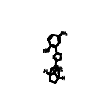 CCOC(=O)[C@H]1[C@@H]2CC[C@H]1CN(c1nc(-c3cc(C)ccc3O)cs1)C2